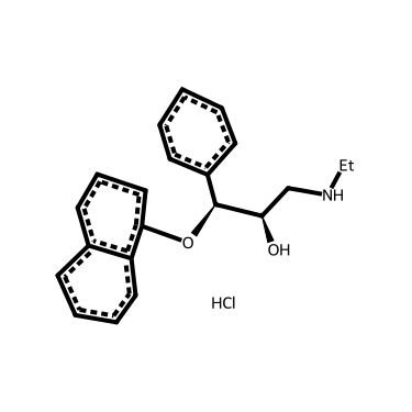 CCNC[C@@H](O)[C@@H](Oc1cccc2ccccc12)c1ccccc1.Cl